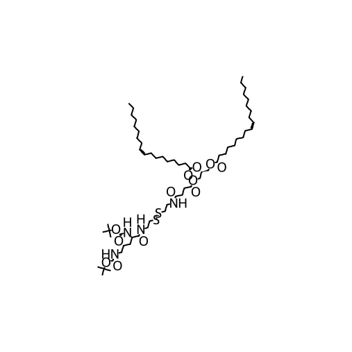 CCCCCCCC/C=C\CCCCCCCC(=O)OC[C@@H](COC(=O)CCC(=O)NCCSSCCNC(=O)C(CCCNC(=O)OC(C)(C)C)NC(=O)OC(C)(C)C)OC(=O)CCCCCCC/C=C\CCCCCCCC